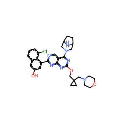 Oc1cc(-c2ncc3c(N4CC5CCC(C4)N5)nc(OCC4(CN5CCOCC5)CC4)nc3n2)c2c(Cl)cccc2c1